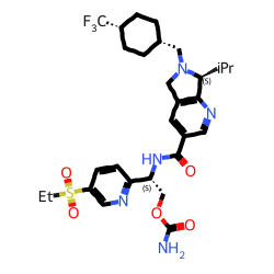 CCS(=O)(=O)c1ccc([C@@H](COC(N)=O)NC(=O)c2cnc3c(c2)CN(C[C@H]2CC[C@@H](C(F)(F)F)CC2)[C@H]3C(C)C)nc1